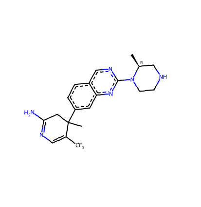 C[C@H]1CNCCN1c1ncc2ccc(C3(C)CC(N)=NC=C3C(F)(F)F)cc2n1